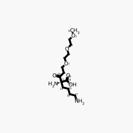 COCCOCCOCCC(=O)[C@](N)(CCCCN)C(=O)O